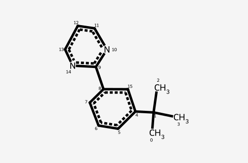 CC(C)(C)c1cccc(-c2ncccn2)c1